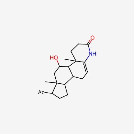 CC(=O)C1CCC2C3CC=C4NC(=O)CCC4(C)C3C(O)CC12C